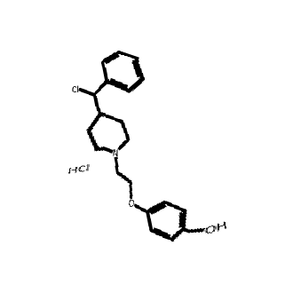 Cl.Oc1ccc(OCCN2CCC(C(Cl)c3ccccc3)CC2)cc1